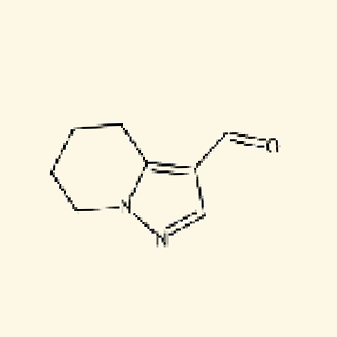 O=Cc1cnn2c1CCCC2